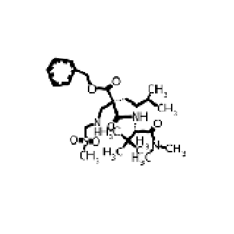 CC(C)CC[C@@](CNCS(C)(=O)=O)(C(=O)N[C@H](C(=O)N(C)C)C(C)(C)C)C(=O)OCc1ccccc1